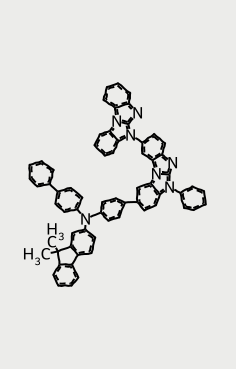 CC1(C)c2ccccc2-c2ccc(N(c3ccc(-c4ccccc4)cc3)c3ccc(-c4ccc5c(c4)n4c6cc(-n7c8ccccc8n8c9ccccc9nc78)ccc6nc4n5-c4ccccc4)cc3)cc21